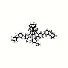 N#Cc1cc(C#N)c(-n2c3ccc(-c4ccc5oc6ccccc6c5c4)cc3c3c4oc5ccccc5c4ccc32)c(-n2c3ccc(-c4ccc5oc6ccccc6c5c4)cc3c3c4oc5ccccc5c4ccc32)c1